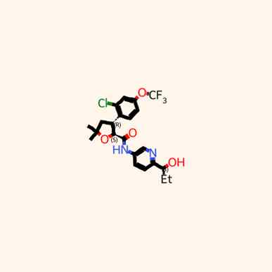 CC[C@H](O)c1ccc(NC(=O)[C@H]2OC(C)(C)C[C@@H]2c2ccc(OC(F)(F)F)cc2Cl)cn1